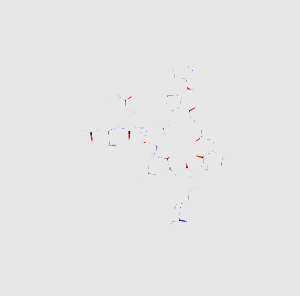 CC(C)C[C@H](NC(=O)[C@H](CC(C)C)NC(=O)[C@H](CCCNC(=N)N)NC(=O)[C@@H](NC(=O)CNC(=O)[C@@H]1CCCN1C(=O)[C@@H](N)C(C)C)C(C)C)C(=O)N[C@@H](CCC(N)=O)C(=O)N[C@@H](CC(=O)O)C(=O)O